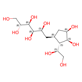 OC[C@@H](O)[C@@H](O)[C@H](O)[C@@H](O)C[C@H]1C[C@@H](O)[C@@H](O)[C@@H]1[C@H](O)CO